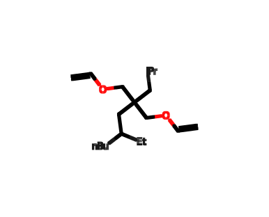 C=COCC(COC=C)(CC(C)C)CC(CC)CCCC